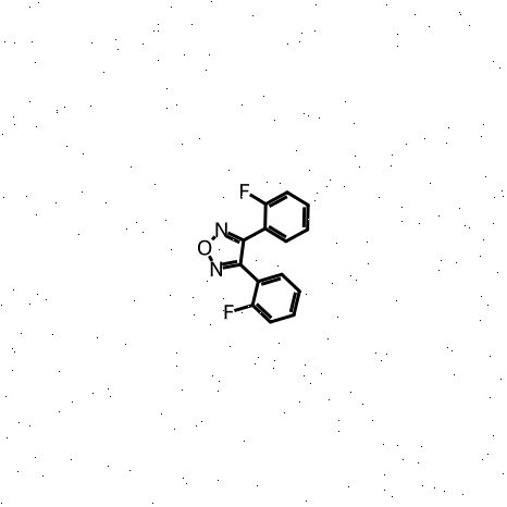 Fc1ccccc1-c1nonc1-c1ccccc1F